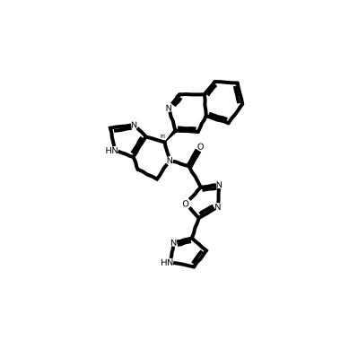 O=C(c1nnc(-c2cc[nH]n2)o1)N1CCc2[nH]cnc2[C@H]1c1cc2ccccc2cn1